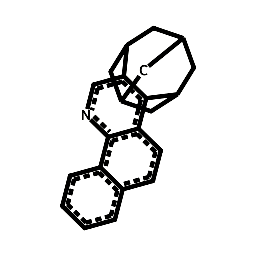 c1ccc2c(c1)ccc1c3c(cnc12)C1CC2CC(C1)CC3C2